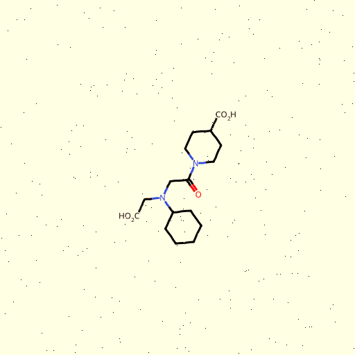 O=C(O)CN(CC(=O)N1CCC(C(=O)O)CC1)C1CCCCC1